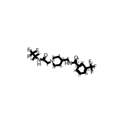 CC(C)(NC(=O)CN1CCC(CNC(=O)c2cccc(C(F)(F)F)c2)CC1)C(F)(F)F